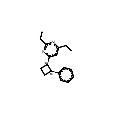 CCc1cc([C@@H]2CC[C@@H]2c2ccccc2)nc(CC)n1